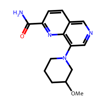 COC1CCCN(c2cncc3ccc(C(N)=O)nc23)C1